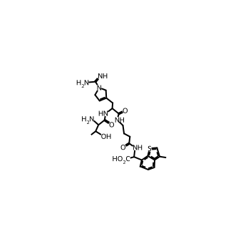 Cc1csc2c(C(NC(=O)CCCNC(=O)C(CC3=CCN(C(=N)N)C3)NC(=O)C(N)C(C)O)C(=O)O)cccc12